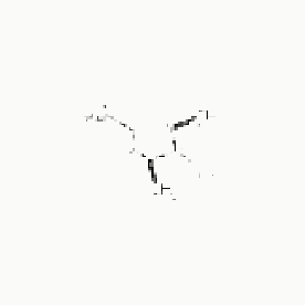 C=CC(C)C(=C)CCNC